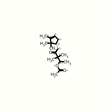 CC(=O)OC(C)C(C)(C)C(=O)C[C@H]1CC=C(C)C1(C)C